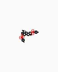 C=C(C)[C@@H]1CC[C@]2(COC(=O)c3ccc(C)cc3)CC[C@]3(C)[C@H](CCC4[C@@]5(C)CC[C@H](OC(=O)c6ccc(C)cc6)C(C)(C)C5CC[C@]43C)[C@@H]12